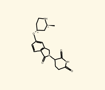 C[C@H]1C[C@H](Oc2ccc3c(c2)CN(C2CCC(=O)NC2=O)C3=O)CCN1